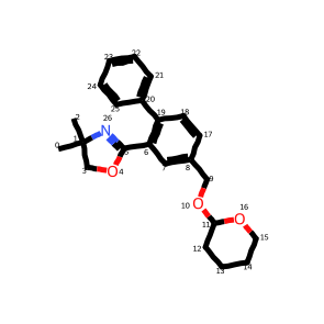 CC1(C)COC(c2cc(COC3CCCCO3)ccc2-c2ccccc2)=N1